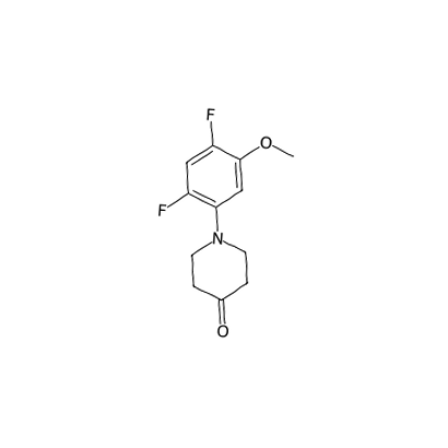 COc1cc(N2CCC(=O)CC2)c(F)cc1F